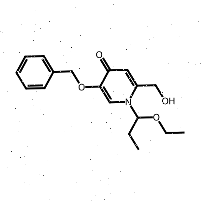 CCOC(CC)n1cc(OCc2ccccc2)c(=O)cc1CO